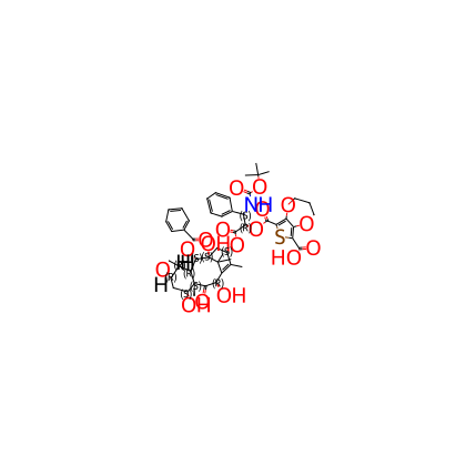 CC1=C2[C@@H](O)C(=O)[C@@]3(C)[C@@H]([C@@H]4CO[C@@H]4C[C@@H]3O)[C@H](OC(=O)c3ccccc3)[C@](O)(C[C@@H]1OC(=O)[C@H](OC(=O)c1sc(C(=O)O)c3c1OCCCO3)[C@@H](NC(=O)OC(C)(C)C)c1ccccc1)C2(C)C